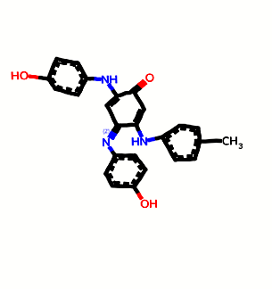 Cc1ccc(NC2=CC(=O)C(Nc3ccc(O)cc3)=C/C2=N/c2ccc(O)cc2)cc1